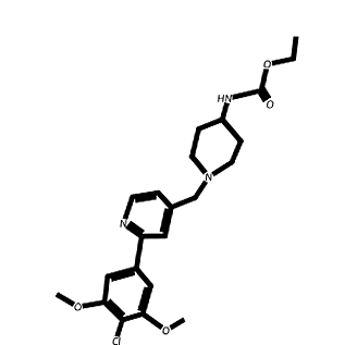 CCOC(=O)NC1CCN(Cc2ccnc(-c3cc(OC)c(Cl)c(OC)c3)c2)CC1